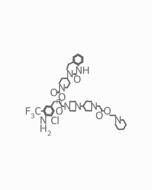 Nc1c(Cl)cc(C[C@@H](OC(=O)N2CCC(N3CCc4ccccc4NC3=O)CC2)C(=O)N2CCN(C3CCN(CC(=O)OCCN4CCCCC4)CC3)CC2)cc1C(F)(F)F